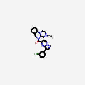 CN1CCN(c2ccccc2CNC(=O)c2ccn3ncc(-c4cccc(Cl)c4)c3n2)CC1